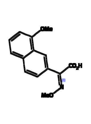 CO/N=C(/C(=O)O)c1ccc2cccc(OC)c2c1